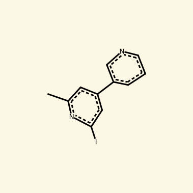 Cc1cc(-c2cccnc2)cc(I)n1